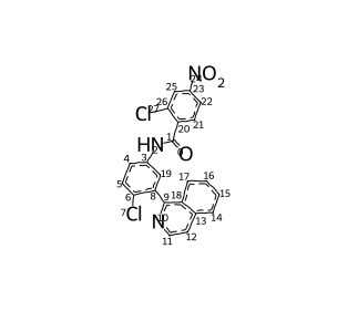 O=C(Nc1ccc(Cl)c(-c2nccc3ccccc23)c1)c1ccc([N+](=O)[O-])cc1Cl